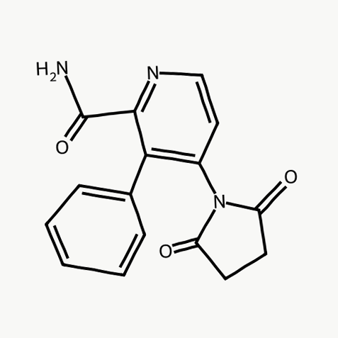 NC(=O)c1nccc(N2C(=O)CCC2=O)c1-c1ccccc1